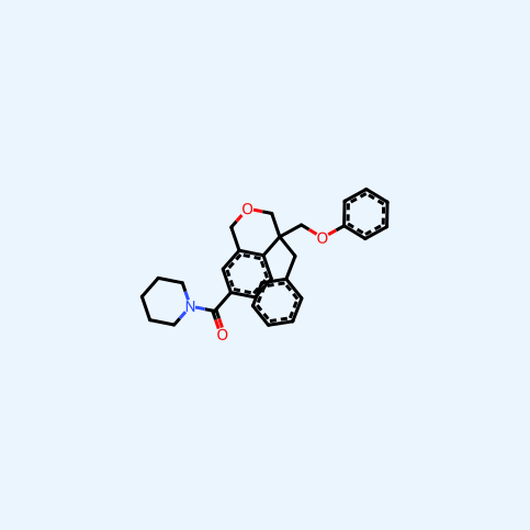 O=C(c1ccc2c(c1)COCC2(COc1ccccc1)Cc1ccccc1)N1CCCCC1